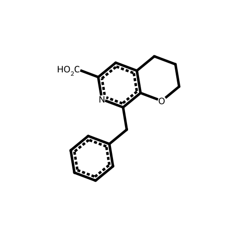 O=C(O)c1cc2c(c(Cc3ccccc3)n1)OCCC2